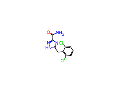 NC(=O)c1n[nH]c(Cc2c(Cl)cccc2Cl)n1